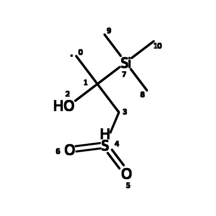 [CH2]C(O)(C[SH](=O)=O)[Si](C)(C)C